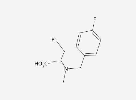 CC(C)C[C@@H](C(=O)O)N(C)Cc1ccc(F)cc1